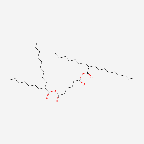 CCCCCCCCCC(CCCCCCC)C(=O)OC(=O)CCCCC(=O)OC(=O)C(CCCCCCC)CCCCCCCCC